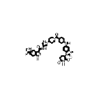 Cn1c(=O)n([C@@H]2CCC(=O)NC2=O)c2ccc(NC3CCC(C(=O)N4CCC(n5cc(NC(=O)c6n[nH]c7c6C[C@@H]6C(F)(F)[C@]6(C)C7)cn5)CC4)CC3)cc21